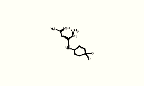 CN/C(=C\C(C)=N)NC1CCC(F)(F)CC1